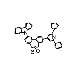 O=S1(=O)Cc2cc(-c3cc(-c4ccccc4)nc(-c4ccccc4)c3)ccc2-c2cc(-n3c4ccccc4c4ccccc43)ccc2C1